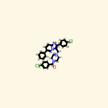 O=C(c1ccc(Cl)cc1)N1CCN(Cc2c(-c3ccc(Cl)cc3)nc3ccc(-c4ccccc4)cn23)CC1